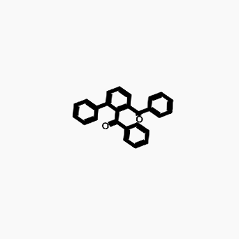 O=C(c1ccccc1)c1cccc(-c2ccccc2)c1C(=O)c1ccccc1